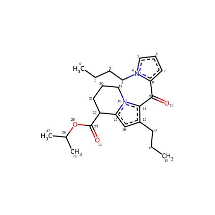 CCCCn1cccc1C(=O)c1c(CCC)cc2n1CCCC2C(=O)OC(C)C